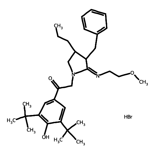 Br.CCCC1CN(CC(=O)c2cc(C(C)(C)C)c(O)c(C(C)(C)C)c2)C(=NCCOC)C1Cc1ccccc1